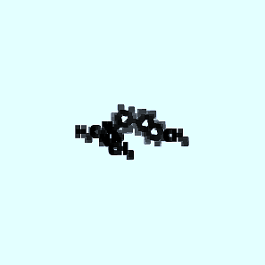 Cc1ccc2cc(-c3cccc(-c4nc(C)nc(C)n4)c3)ccc2c1